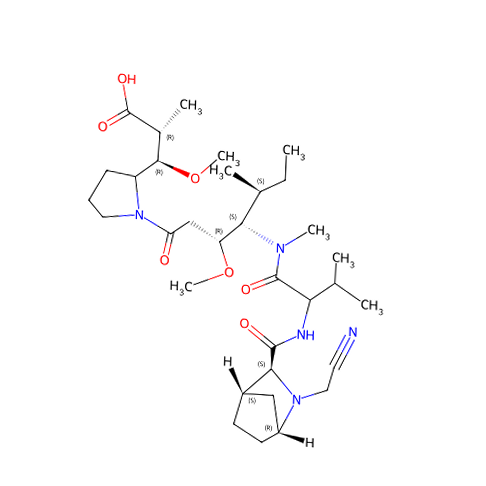 CC[C@H](C)[C@@H]([C@@H](CC(=O)N1CCCC1[C@H](OC)[C@@H](C)C(=O)O)OC)N(C)C(=O)C(NC(=O)[C@@H]1[C@H]2CC[C@H](C2)N1CC#N)C(C)C